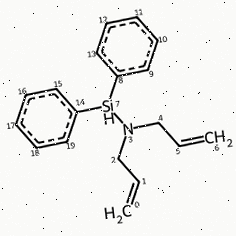 C=CCN(CC=C)[SiH](c1ccccc1)c1ccccc1